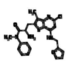 Cc1c(CC(N)C(=O)N(C)c2ccccc2)sc2c(NCc3ccco3)cc(Cl)nc12